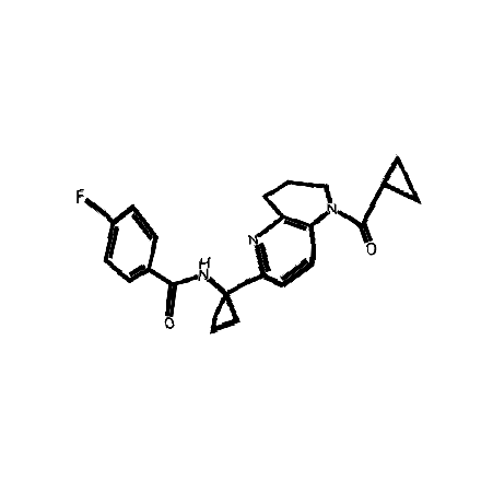 O=C(NC1(c2ccc3c(n2)CCCN3C(=O)C2CC2)CC1)c1ccc(F)cc1